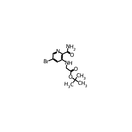 CC(C)(C)OC(=O)CNc1cc(Br)cnc1C(N)=O